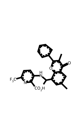 Cc1cc(C(C)Nc2ccc(C(F)(F)F)nc2C(=O)O)c2oc(-c3ccccc3)c(C)c(=O)c2c1